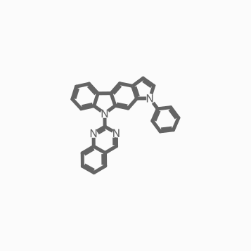 c1ccc(-n2ccc3cc4c5ccccc5n(-c5ncc6ccccc6n5)c4cc32)cc1